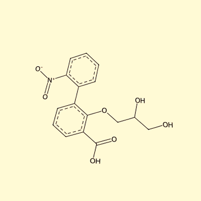 O=C(O)c1cccc(-c2ccccc2[N+](=O)[O-])c1OCC(O)CO